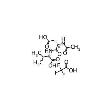 CC(=O)N[C@@H](CC(=O)O)C(=O)N[C@H](C(=O)O)C(C)C.O=C(O)C(F)(F)F